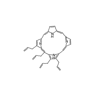 C=CCC1=Cc2cc3ccc(cc4nc(cc5[nH]c(c(CC=C)c1n2)c(CC=C)c5CC=C)C=C4)[nH]3